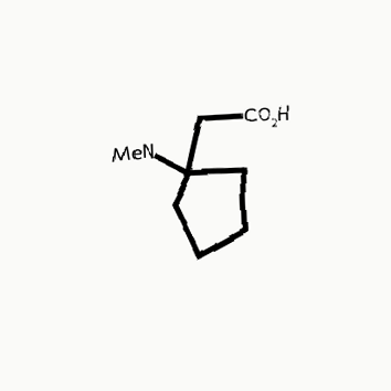 CNC1(CC(=O)O)CCCC1